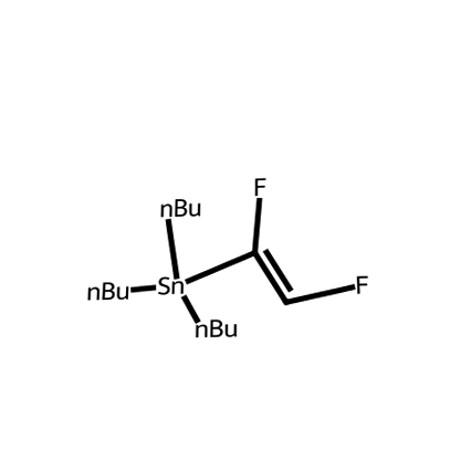 CCC[CH2][Sn]([CH2]CCC)([CH2]CCC)[C](F)=CF